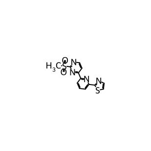 CS(=O)(=O)c1nccc(-c2cccc(-c3nccs3)n2)n1